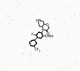 COc1cc(-c2cccc(C(F)(F)F)c2)c(F)cc1N1C(=O)COC2CNCCC21